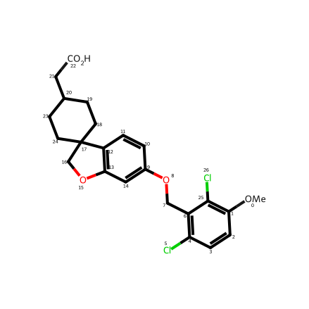 COc1ccc(Cl)c(COc2ccc3c(c2)OCC32CCC(CC(=O)O)CC2)c1Cl